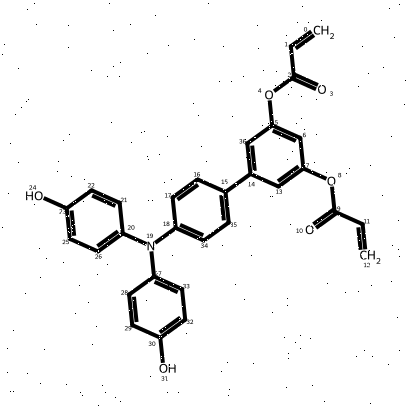 C=CC(=O)Oc1cc(OC(=O)C=C)cc(-c2ccc(N(c3ccc(O)cc3)c3ccc(O)cc3)cc2)c1